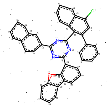 Clc1cc(-c2ccccc2)c(-c2nc(-c3ccc4ccccc4c3)nc(-c3cccc4c3oc3ccccc34)n2)c2ccccc12